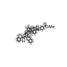 COC(=O)c1ccc(CNc2ccc(CC(NC(=O)C(C)N(C)C(=O)OC(C)(C)C)C(=O)N3Cc4ccccc4CC3C(=O)N[C@@H]3CCCc4ccccc43)cc2)cc1